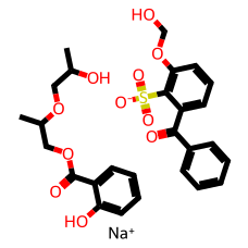 CC(O)COC(C)COC(=O)c1ccccc1O.O=C(c1ccccc1)c1cccc(OCO)c1S(=O)(=O)[O-].[Na+]